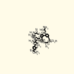 CCC(C)(C)c1ccc(-c2nc(C)c(C(=O)NC(CNS(N)(=O)=O)C(=O)N(C)[C@@H]3C(=O)N[C@@H](C)C(=O)N[C@H](C(=O)O)Cc4ccc(OCC(O)CN)c(c4)-c4cc3cc(OCC(O)CN)c4O)c(N)n2)c(F)c1